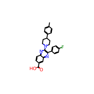 Cc1ccc(C2CCN(c3nc4ccc(C(=O)O)cc4nc3-c3ccc(F)cc3)CC2)cc1